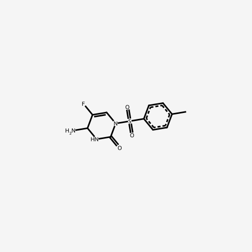 Cc1ccc(S(=O)(=O)N2C=C(F)C(N)NC2=O)cc1